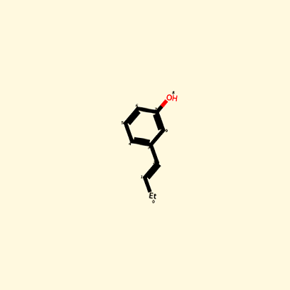 [CH2]CC=Cc1cccc(O)c1